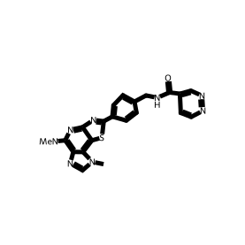 CNc1nc2nc(-c3ccc(CNC(=O)c4ccnnc4)cc3)sc2c2c1ncn2C